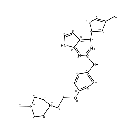 Cc1csc(-c2nc(Nc3ccc(OCCN4CCN(C)CC4)cc3)nc3[nH]ccc23)c1